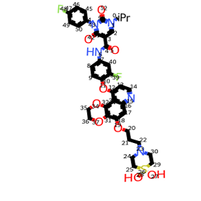 CC(C)n1cc(C(=O)Nc2ccc(Oc3ccnc4cc(OCCCN5CCS(O)(O)CC5)c5c(c34)OCCO5)c(F)c2)c(=O)n(-c2ccc(F)cc2)c1=O